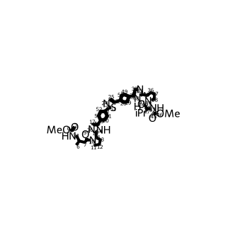 COC(=O)NCC(C)CC(=O)N1CCCC1c1ncc(-c2ccc(-c3ncc(-c4ccc(-c5cnc(C6CCCN6C(=O)C(NC(=O)OC)C(C)C)[nH]5)cc4)s3)cc2)[nH]1